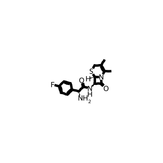 CC1=C(C)N2C(=O)[C@@H](NC(=O)[C@H](N)c3ccc(F)cc3)[C@H]2SC1